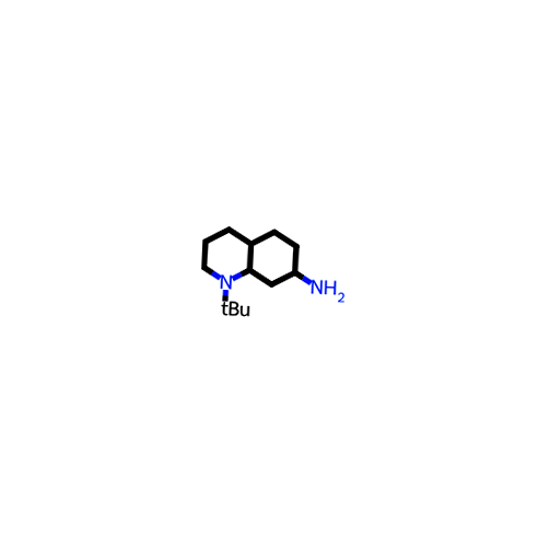 CC(C)(C)N1CCCC2CCC(N)CC21